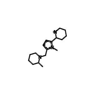 CC1CCCCN1Cc1ccc(C2CCCC[N]2)n1C